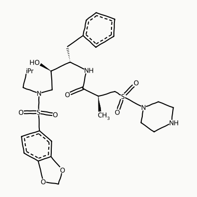 CC(C)CN(C[C@@H](O)[C@H](Cc1ccccc1)NC(=O)[C@H](C)CS(=O)(=O)N1CCNCC1)S(=O)(=O)c1ccc2c(c1)OCO2